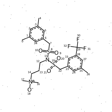 Cc1cc(C)cc(CS(=O)(=O)N(CCC[N+](C)(C)[O-])S(=O)(=O)Cc2cc(C)cc(C(F)(F)F)c2)c1